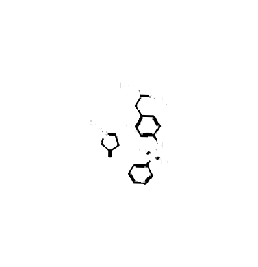 CC(=O)N1CC(=S)C[C@H]1C(=O)O.N[C@@H](Cc1ccc(NS(=O)(=O)c2ccccc2)cc1)C(=O)O